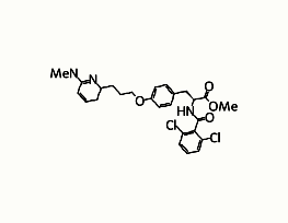 CNC1=NC(CCCOc2ccc(C[C@H](NC(=O)c3c(Cl)cccc3Cl)C(=O)OC)cc2)CC=C1